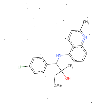 COCC(O)(C(Nc1cccc2nc(C)ccc12)c1ccc(Cl)cc1)C(F)(F)F